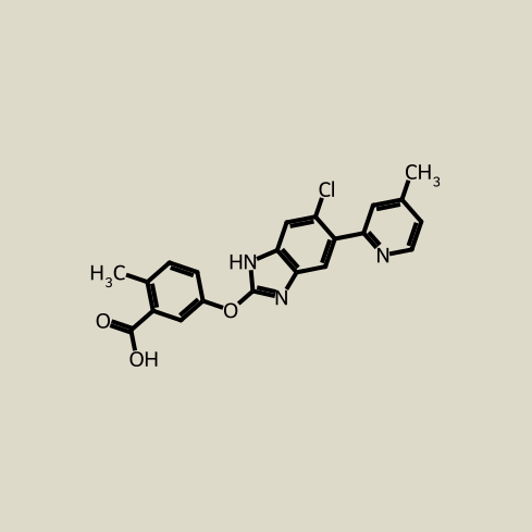 Cc1ccnc(-c2cc3nc(Oc4ccc(C)c(C(=O)O)c4)[nH]c3cc2Cl)c1